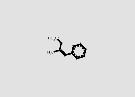 CC(=Cc1ccccc1)CC(=O)O